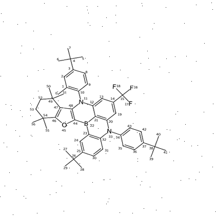 Cc1cc(C(C)(C)C)ccc1N1c2cc(C(F)(F)F)cc3c2B(c2cc(C(C)(C)C)ccc2N3c2ccc(C(C)(C)C)cc2)c2oc3c(c21)C(C)(C)CCC3(C)C